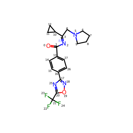 O=C(/N=C(/CN1CCCC1)C1CC1)c1ccc(-c2noc(C(F)(F)F)n2)cc1